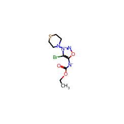 CCOC(=O)[N-]c1on[n+](N2CCSCC2)c1Br